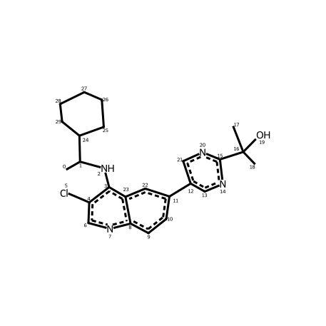 CC(Nc1c(Cl)cnc2ccc(-c3cnc(C(C)(C)O)nc3)cc12)C1CCCCC1